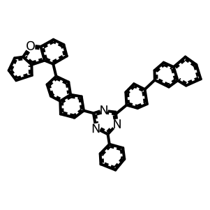 c1ccc(-c2nc(-c3ccc(-c4ccc5ccccc5c4)cc3)nc(-c3ccc4ccc(-c5cccc6oc7ccccc7c56)cc4c3)n2)cc1